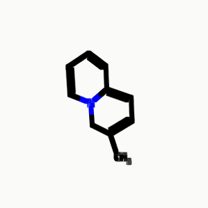 CC1=CC=C2C=CC=CN2C1